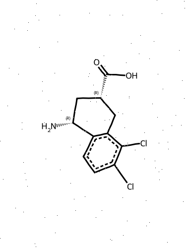 N[C@@H]1C[C@H](C(=O)O)Cc2c1ccc(Cl)c2Cl